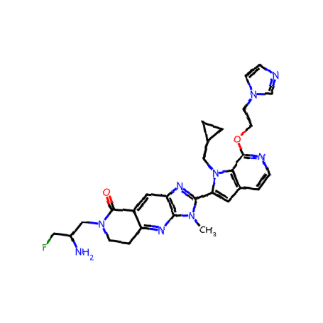 Cn1c(-c2cc3ccnc(OCCn4ccnc4)c3n2CC2CC2)nc2cc3c(nc21)CCN(CC(N)CF)C3=O